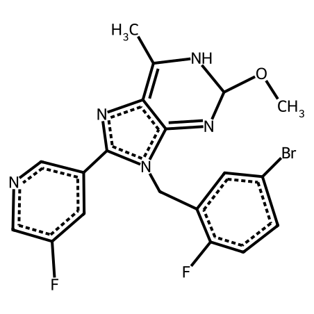 COC1N=c2c(nc(-c3cncc(F)c3)n2Cc2cc(Br)ccc2F)=C(C)N1